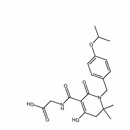 CC(C)Oc1ccc(CN2C(=O)C(C(=O)NCC(=O)O)=C(O)CC2(C)C)cc1